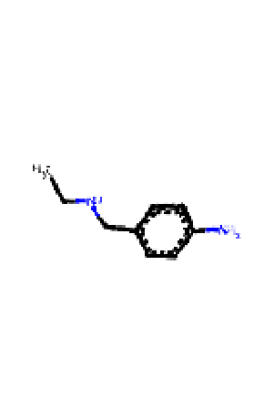 CCNCc1ccc(N)cc1